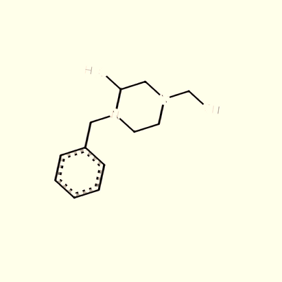 CCN1CCN(Cc2ccccc2)C(C)C1